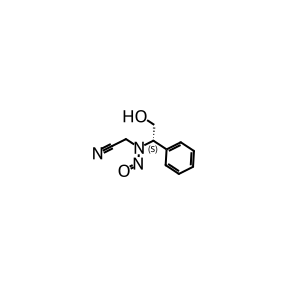 N#CCN(N=O)[C@H](CO)c1ccccc1